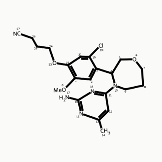 COc1cc(C2COCCCN2c2cc(C)nc(N)n2)c(Cl)cc1OCCCC#N